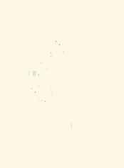 COc1nc(NS(=O)(=O)c2c[nH]c3c2CCC(C(F)(F)F)C3)c(F)cc1OCC(F)F